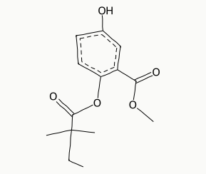 CCC(C)(C)C(=O)Oc1ccc(O)cc1C(=O)OC